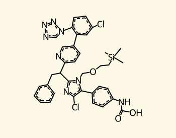 C[Si](C)(C)CCOCn1c(C(Cc2ccccc2)c2ccc(-c3cc(Cl)ccc3-n3cnnn3)cn2)nc(Cl)c1-c1ccc(NC(=O)O)cc1